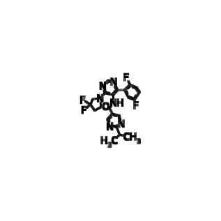 CC(C)c1ncc(C(=O)Nc2c(-c3cc(F)ccc3F)ncnc2N2CCC(F)(F)C2)cn1